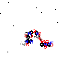 COc1cc(-c2cn(C)c(=O)c3cnccc23)cc(OC)c1CN1CCC(OC2CCN(C(=O)CCOCCOc3cccc4c3C(=O)N(C3CCC(=O)NC3=O)C4=O)CC2)CC1